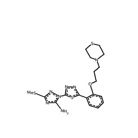 CSc1nc(N)n(-c2nnc(-c3ccccc3OCCCN3CCSCC3)s2)n1